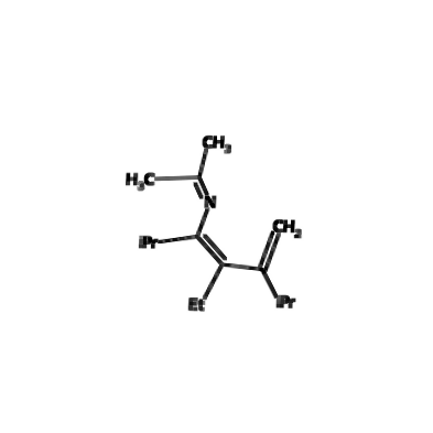 C=C(/C(CC)=C(\N=C(C)C)C(C)C)C(C)C